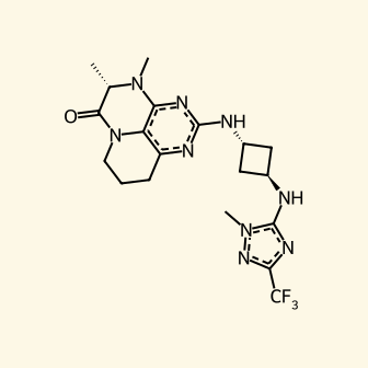 C[C@H]1C(=O)N2CCCc3nc(N[C@H]4C[C@H](Nc5nc(C(F)(F)F)nn5C)C4)nc(c32)N1C